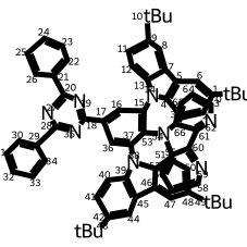 CC(C)(C)c1ccc2c(c1)c1cc(C(C)(C)C)ccc1n2-c1cc(-c2nc(-c3ccccc3)nc(-c3ccccc3)n2)cc(-n2c3ccc(C(C)(C)C)cc3c3cc(C(C)(C)C)ccc32)c1-n1c2cccnc2c2ncccc21